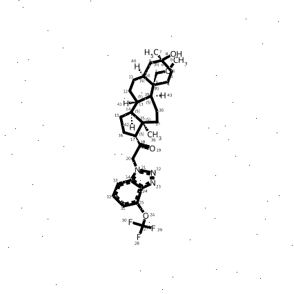 COC[C@]12CC[C@@](C)(O)C[C@@H]1CC[C@H]1[C@@H]3CC[C@H](C(=O)Cn4nnc5c(OC(F)(F)F)cccc54)[C@@]3(C)CC[C@@H]12